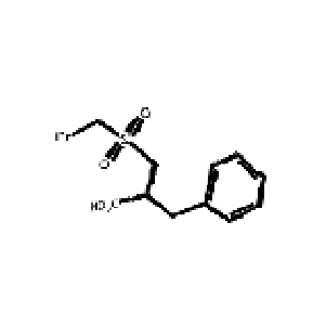 CC(C)CS(=O)(=O)CC(Cc1ccccc1)C(=O)O